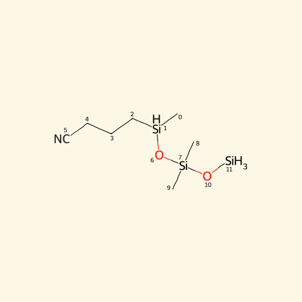 C[SiH](CCCC#N)O[Si](C)(C)O[SiH3]